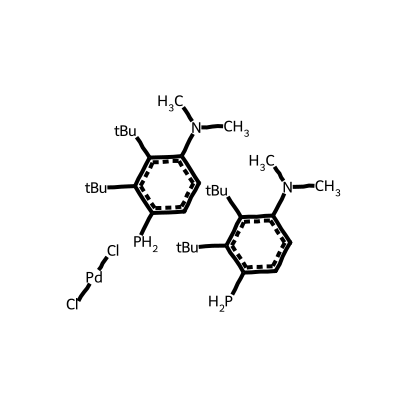 CN(C)c1ccc(P)c(C(C)(C)C)c1C(C)(C)C.CN(C)c1ccc(P)c(C(C)(C)C)c1C(C)(C)C.[Cl][Pd][Cl]